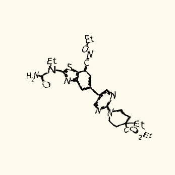 CCON=C=C1C=C(c2cnc(N3CCC(CC)(C(=O)OCC)CC3)nc2)Cc2nc(N(CC)C(N)=O)sc21